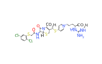 N=C(N)N[C@@H](CCC[n+]1ccc(SCC2=C(C(=O)O)N3C(=O)[C@H](NC(=O)CSc4cc(Cl)ccc4Cl)[C@H]3SC2)cc1)C(=O)O